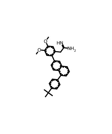 COc1cc(CC(=N)N)c(-c2ccc3c(-c4ccc(C(C)(C)C)cc4)cccc3c2)cc1OC